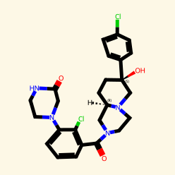 O=C1CN(c2cccc(C(=O)N3CCN4C[C@@](O)(c5ccc(Cl)cc5)CC[C@@H]4C3)c2Cl)CCN1